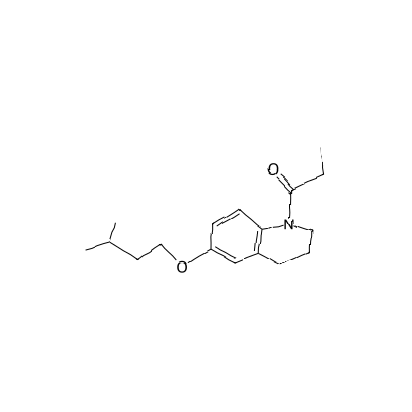 CCC(=O)N1CCCc2cc(OCCC(C)C)ccc21